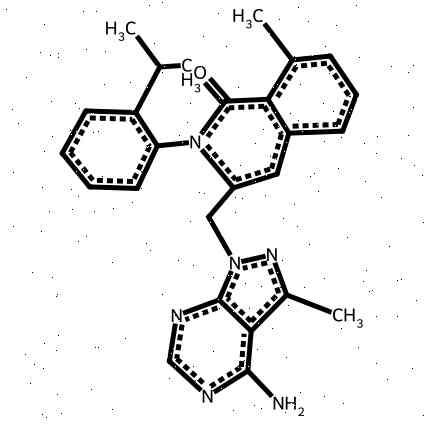 Cc1nn(Cc2cc3cccc(C)c3c(=O)n2-c2ccccc2C(C)C)c2ncnc(N)c12